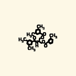 Cc1cc(C)cc(C(=O)NC(COC(=O)c2cccc(C)c2)COC(=O)c2cc(C)cc(C)c2)c1